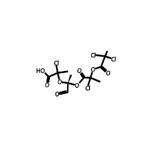 CC(Cl)(Cl)C(=O)OC(C)(Cl)C(=O)O[C@](C)(C=O)OC(C)(Cl)C(=O)O